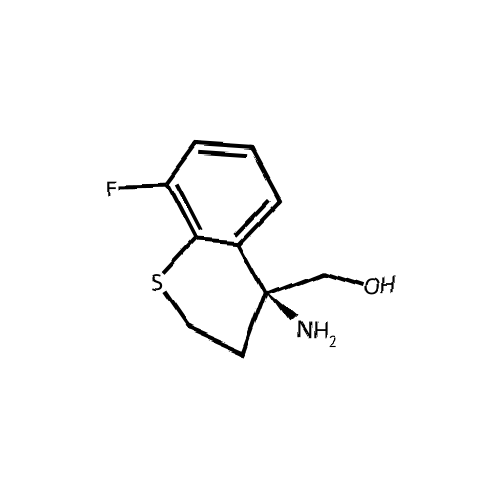 N[C@@]1(CO)CCSc2c(F)cccc21